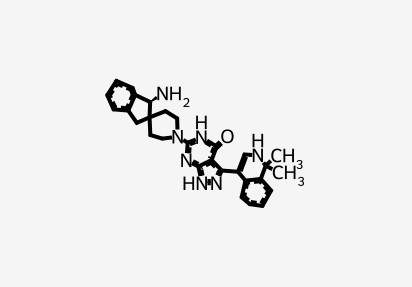 CC1(C)NC=C(c2n[nH]c3nc(N4CCC5(CC4)Cc4ccccc4[C@H]5N)[nH]c(=O)c23)c2ccccc21